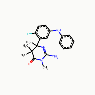 CN1C(=O)C(C)(C)C(C)(c2cc(Nc3ccccc3)ccc2F)N=C1N